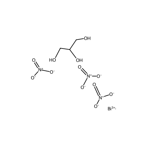 O=[N+]([O-])[O-].O=[N+]([O-])[O-].O=[N+]([O-])[O-].OCC(O)CO.[Bi+3]